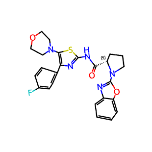 O=C(Nc1nc(-c2ccc(F)cc2)c(N2CCOCC2)s1)[C@@H]1CCCN1c1nc2ccccc2o1